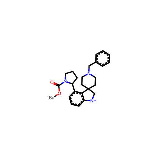 CC(C)(C)OC(=O)N1CCCC1c1cccc2c1C1(CCN(Cc3ccccc3)CC1)CN2